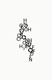 Cn1c(-c2ccc(OCC#N)c(F)c2F)cnc1C(=O)Nc1ccc(C(=O)N2CCN(C(=O)[C@@H]3NCC[C@@H]3O)CC2)c(Cl)c1